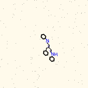 C(=C/C(=C/C=N/c1ccccc1)Cc1ccccc1)\Nc1ccccc1